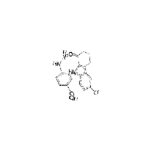 Cl.NNc1ccc(Cl)cc1.O=C1CCCc2c1[nH]c1ccc(Cl)cc21